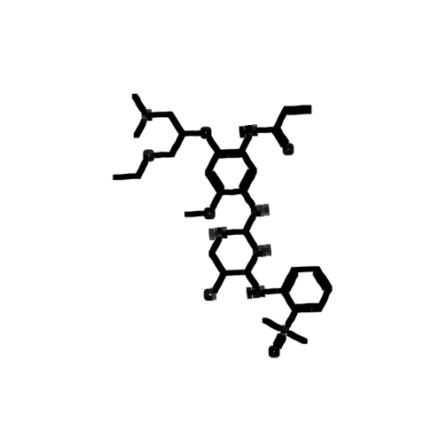 C=CC(=O)Nc1cc(NC2NCC(Cl)C(Nc3ccccc3P(C)(C)=O)N2)c(OC)cc1OC(COCC)CN(C)C